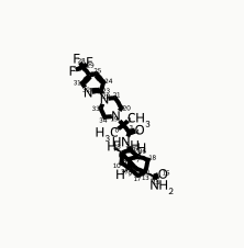 CC(C)(C(=O)N[C@H]1[C@@H]2C[C@@H]3C[C@H]1C[C@@](C(N)=O)(C3)C2)N1CCN(c2ccc(C(F)(F)F)cn2)CC1